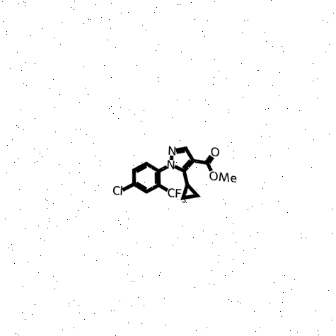 COC(=O)c1cnn(-c2ccc(Cl)cc2C(F)(F)F)c1C1CC1